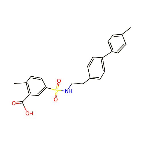 Cc1ccc(-c2ccc(CCNS(=O)(=O)c3ccc(C)c(C(=O)O)c3)cc2)cc1